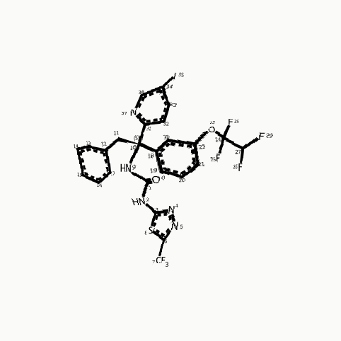 O=C(Nc1nnc(C(F)(F)F)s1)N[C@@](Cc1ccccc1)(c1cccc(OC(F)(F)C(F)F)c1)c1ccc(I)cn1